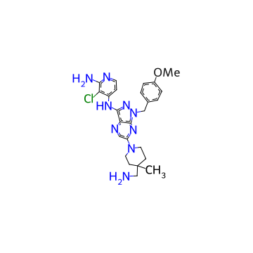 COc1ccc(Cn2nc(Nc3ccnc(N)c3Cl)c3ncc(N4CCC(C)(CN)CC4)nc32)cc1